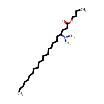 CCCCCCCCCCCCCCCCCCC(CCC(=O)OCCCC)N(C)C